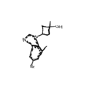 Cc1cc(Br)cc2ncn(C3CC(C)(O)C3)c12